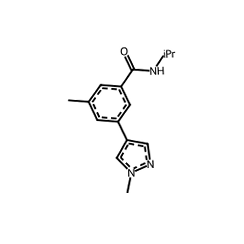 Cc1cc(C(=O)NC(C)C)cc(-c2cnn(C)c2)c1